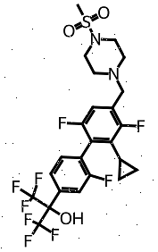 CS(=O)(=O)N1CCN(Cc2cc(F)c(-c3ccc(C(O)(C(F)(F)F)C(F)(F)F)cc3F)c(C3CC3)c2F)CC1